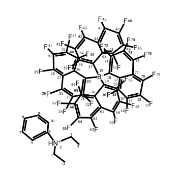 CC[NH+](CC)c1ccccc1.Fc1c(F)c(F)c2c([B-](c3c(F)c(F)c(F)c4c(F)c(F)c(F)c(F)c34)(c3c(F)c(F)c(F)c4c(F)c(F)c(F)c(F)c34)c3c(F)c(F)c(F)c4c(F)c(F)c(F)c(F)c34)c(F)c(F)c(F)c2c1F